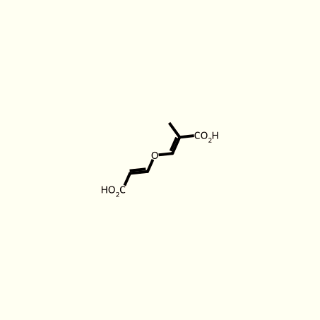 CC(=COC=CC(=O)O)C(=O)O